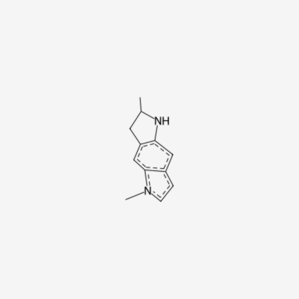 CC1Cc2cc3c(ccn3C)cc2N1